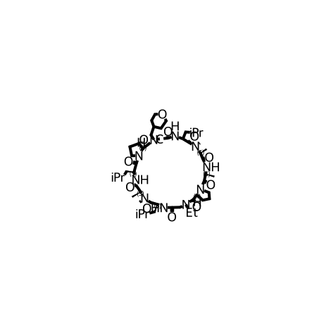 CCN1CC(=O)N[C@@H](CC(C)C)C(=O)N(C)[C@@H](C)C(=O)N[C@@H](CC(C)C)C(=O)N2CCC[C@@H]2C(=O)N(CC2CCOCC2)CC(=O)NC(CC(C)C)C(=O)N(C)[C@@H](C)C(=O)N[C@@H](C)C(=O)N2CCC[C@@H]2C1=O